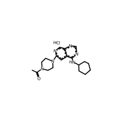 CC(=O)N1CCN(c2cc3c(NC4CCCCC4)ncnc3cn2)CC1.Cl